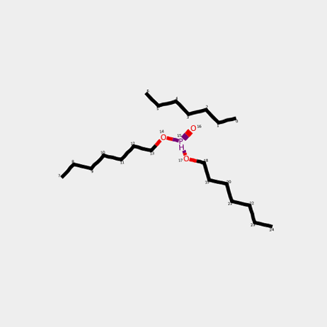 CCCCCCC.CCCCCCCO[PH](=O)OCCCCCCC